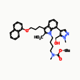 CN(CCCCn1c(C(=O)O)c(CCCOc2cccc3ccccc23)c2cccc(-c3cnn(C)c3CO)c21)C(=O)OC(C)(C)C